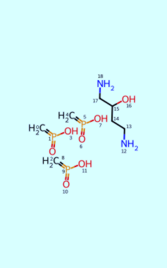 C=P(=O)O.C=P(=O)O.C=P(=O)O.NCCC(O)CN